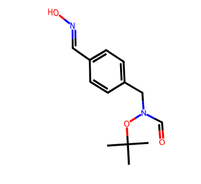 CC(C)(C)ON(C=O)Cc1ccc(C=NO)cc1